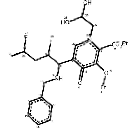 CCOC(=O)c1c(OCC)c(=O)c(C(NCc2ccccc2)C(F)CC(C)F)cn1CC(O)O